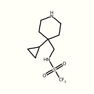 O=S(=O)(NCC1(C2CC2)CCNCC1)C(F)(F)F